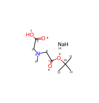 CN(CC(=O)O)CC(=O)OC(C)(C)C.[NaH]